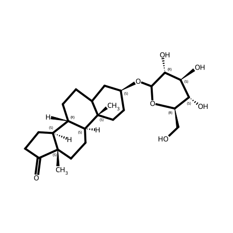 C[C@]12CC[C@H](OC3O[C@H](CO)[C@@H](O)[C@H](O)[C@H]3O)CC1CC[C@@H]1[C@@H]2CC[C@]2(C)C(=O)CC[C@@H]12